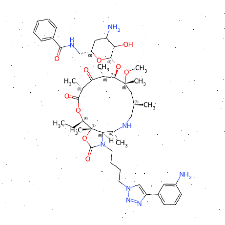 CC[C@H]1OC(=O)[C@H](C)C(=O)[C@H](C)[C@@H](O[C@@H]2O[C@H](CNC(=O)c3ccccc3)CC(N)C2O)[C@](C)(OC)C[C@@H](C)CN[C@H](C)[C@H]2N(CCCCn3cc(-c4cccc(N)c4)nn3)C(=O)O[C@]12C